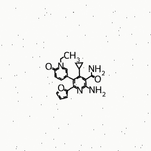 CCn1cc(-c2c(-c3ccco3)nc(N)c(C(N)=O)c2C2CC2)ccc1=O